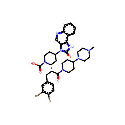 CN1CCN(C2CCN(C(=O)C(Cc3ccc(Br)c(Br)c3)[C@H]3CC(n4c(=O)[nH]c5c6ccccc6ncc54)CCN3C(=O)O)CC2)CC1